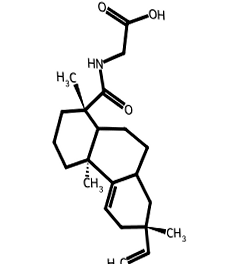 C=C[C@]1(C)CC=C2C(CCC3[C@@](C)(C(=O)NCC(=O)O)CCC[C@]23C)C1